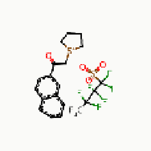 O=C(C[S+]1CCCC1)c1ccc2ccccc2c1.O=S(=O)([O-])C(F)(F)C(F)(F)C(F)(F)C(F)(F)F